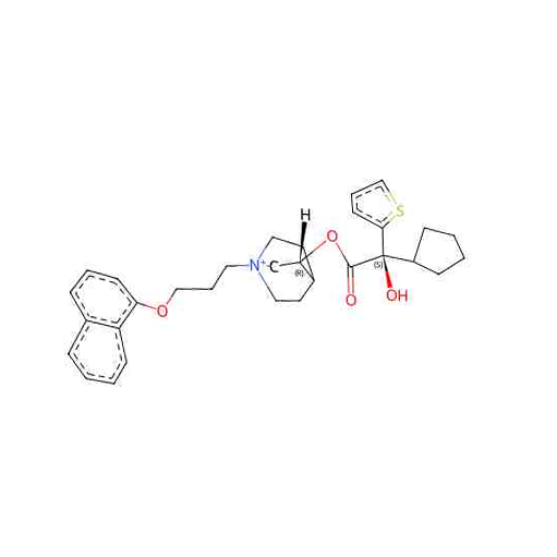 O=C(O[C@H]1C[N+]2(CCCOc3cccc4ccccc34)CCC1CC2)[C@](O)(c1cccs1)C1CCCC1